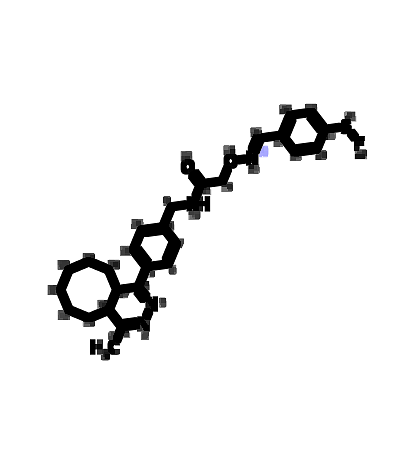 CC1=NN=C(c2ccc(CNC(=O)CO/N=C/c3ccc(SF)cc3)cc2)C2CCCCCCC12